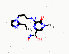 CCc1nccn1/C=C\CNc1nc(B(O)N=O)cn(C)c1=O